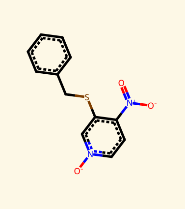 O=[N+]([O-])c1cc[n+]([O-])cc1SCc1ccccc1